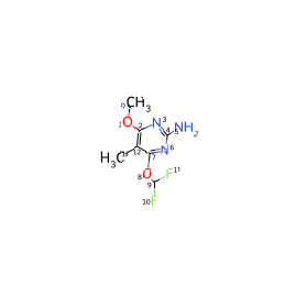 COc1nc(N)nc(OC(F)F)c1C